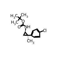 CC(C)(C)OC(=O)N[C@@H]1C[C@]1(C)c1ccc(Cl)cc1